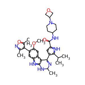 COc1cc2c3c([nH]c2cc1-c1c(C)noc1C)NC(C)N=C3c1cc(C(=O)NC2CCN(C3COC3)CC2)[nH]c1C(C)C